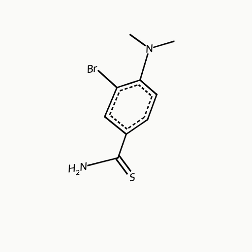 CN(C)c1ccc(C(N)=S)cc1Br